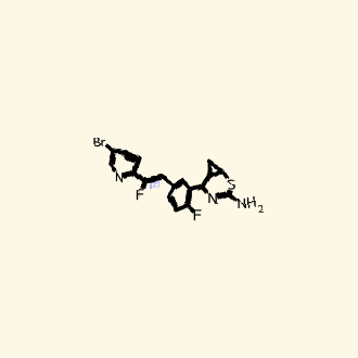 NC1=NC(c2cc(/C=C(\F)c3ccc(Br)cn3)ccc2F)C2CC2S1